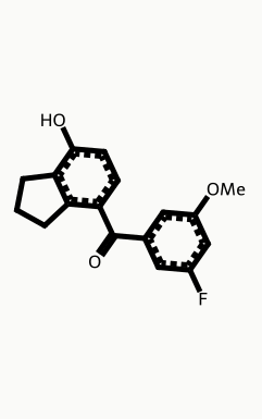 COc1cc(F)cc(C(=O)c2ccc(O)c3c2CCC3)c1